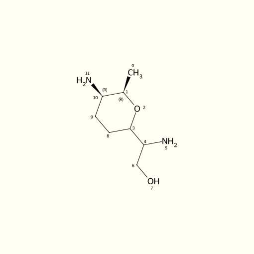 C[C@H]1OC(C(N)CO)CC[C@H]1N